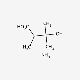 CC(C(=O)O)C(C)(C)O.N